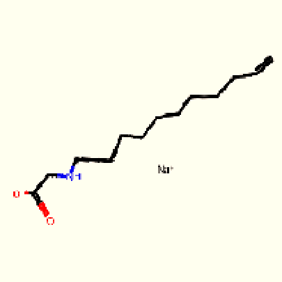 C=CCCCCCCCCCNCC(=O)[O-].[Na+]